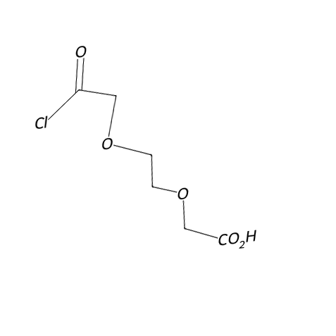 O=C(O)COCCOCC(=O)Cl